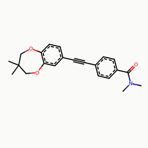 CN(C)C(=O)c1ccc(C#Cc2ccc3c(c2)OCC(C)(C)CO3)cc1